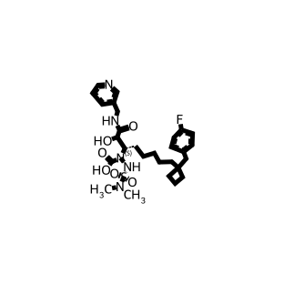 CN(C)S(=O)(=O)NN(C(=O)O)[C@@H](CCCCCC1(Cc2ccc(F)cc2)CCC1)C(O)C(=O)NCc1cccnc1